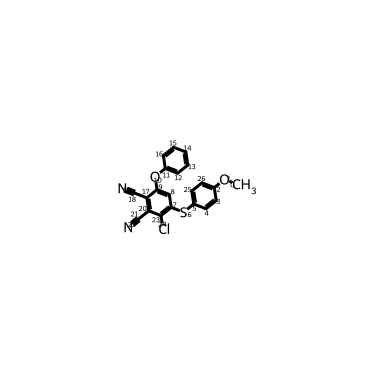 COc1ccc(Sc2cc(Oc3ccccc3)c(C#N)c(C#N)c2Cl)cc1